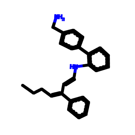 CCC/C=C(\C=C\Nc1ccccc1-c1ccc(CN)cc1)c1ccccc1